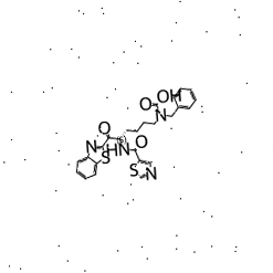 O=C(N[C@@H](CCCCN(Cc1ccccc1)C(=O)O)C(=O)c1nc2ccccc2s1)c1cncs1